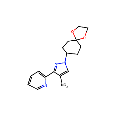 O=[N+]([O-])c1cn(C2CCC3(CC2)OCCO3)nc1-c1ccccn1